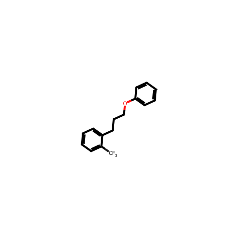 FC(F)(F)c1ccccc1CCCOc1cc[c]cc1